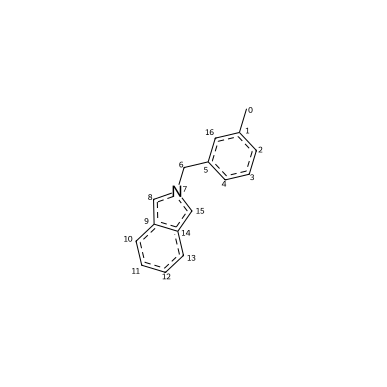 Cc1cccc(Cn2cc3ccccc3c2)c1